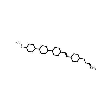 C=CCCC1CCC(/C=C/C2CCC(C3CCC(C4CCC(OCCCC)CC4)CC3)CC2)CC1